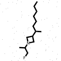 CCCCCCC(C)C1CN(C(C)CF)C1